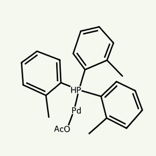 CC(=O)[O][Pd][PH](c1ccccc1C)(c1ccccc1C)c1ccccc1C